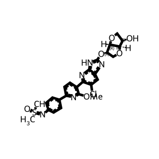 COc1nc(-c2ccc(N=S(C)(C)=O)cc2)ccc1-c1nc2[nH]c(O[C@@H]3CO[C@H]4[C@@H]3OC[C@H]4O)nc2cc1Cl